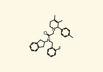 CC1=C(C)C(c2ccc(C)cc2)N(CC(=O)N(Cc2ccccc2F)C2Cc3ccccc3C2)CC1